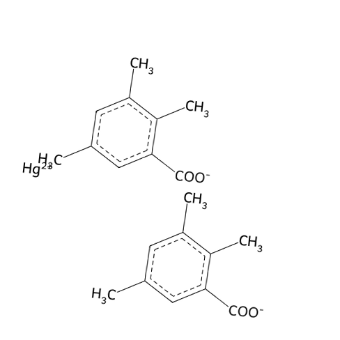 Cc1cc(C)c(C)c(C(=O)[O-])c1.Cc1cc(C)c(C)c(C(=O)[O-])c1.[Hg+2]